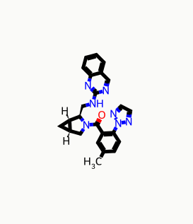 Cc1ccc(-n2nccn2)c(C(=O)N2C[C@H]3C[C@H]3[C@H]2CNc2ncc3ccccc3n2)c1